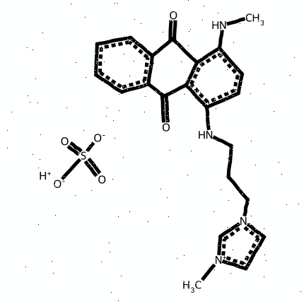 CNc1ccc(NCCCn2cc[n+](C)c2)c2c1C(=O)c1ccccc1C2=O.O=S(=O)([O-])[O-].[H+]